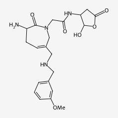 COc1cccc(CNCC2=CCC(N)C(=O)N(CC(=O)NC3CC(=O)OC3O)C2)c1